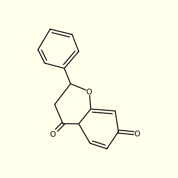 O=C1C=CC2C(=O)CC(c3ccccc3)OC2=C1